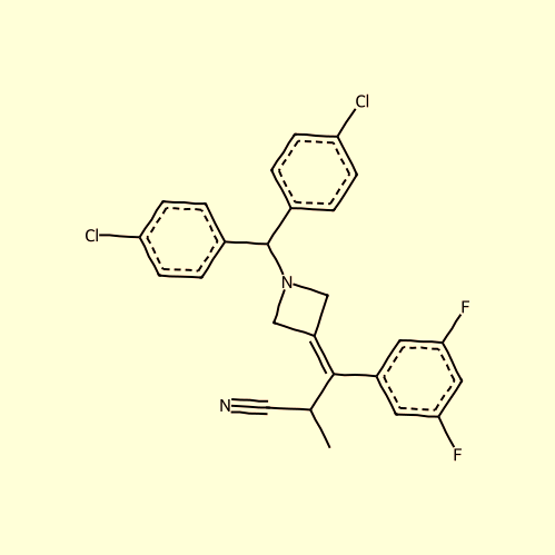 CC(C#N)C(=C1CN(C(c2ccc(Cl)cc2)c2ccc(Cl)cc2)C1)c1cc(F)cc(F)c1